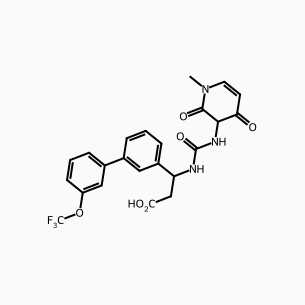 CN1C=CC(=O)C(NC(=O)NC(CC(=O)O)c2cccc(-c3cccc(OC(F)(F)F)c3)c2)C1=O